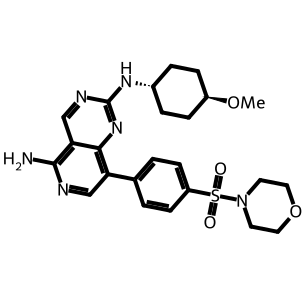 CO[C@H]1CC[C@H](Nc2ncc3c(N)ncc(-c4ccc(S(=O)(=O)N5CCOCC5)cc4)c3n2)CC1